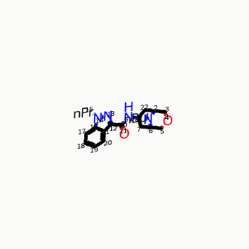 CCCCN1C2COCC1CC(NC(=O)c1nn(CCC)c3ccccc13)C2